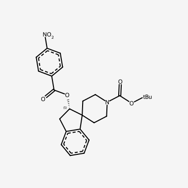 CC(C)(C)OC(=O)N1CCC2(CC1)c1ccccc1C[C@@H]2OC(=O)c1ccc([N+](=O)[O-])cc1